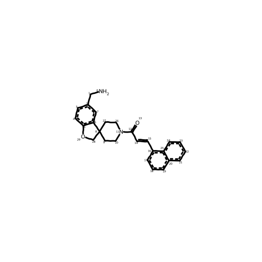 NCc1ccc2c(c1)C1(CCN(C(=O)/C=C/c3cccc4ccccc34)CC1)CO2